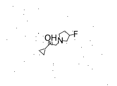 O[C@@H](CN1CCC(F)C1)C1CC1